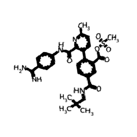 Cc1ccc(-c2ccc(C(=O)NCC(C)(C)C)cc2C(=O)OS(C)(=O)=O)c(C(=O)Nc2ccc(C(=N)N)cc2)n1